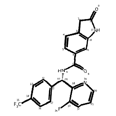 O=C1Cc2ccc(C(=O)N[C@@H](c3ccc(C(F)(F)F)cc3)c3ncccc3F)cc2N1